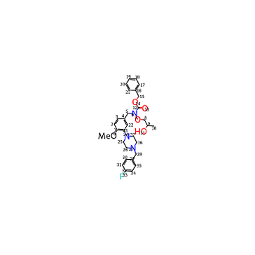 COc1ccc(CN(OCC(C)O)C(=O)OCc2ccccc2)cc1N1CCN(Cc2ccc(F)cc2)CC1